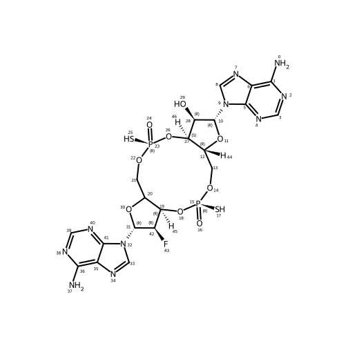 Nc1ncnc2c1ncn2[C@@H]1O[C@@H]2CO[P@@](=O)(S)O[C@@H]3C(CO[P@@](=O)(S)O[C@H]2[C@H]1O)O[C@@H](n1cnc2c(N)ncnc21)[C@@H]3F